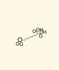 O=C(O)C(CCCCCCCc1cccc2c1OCO2)C(=O)O